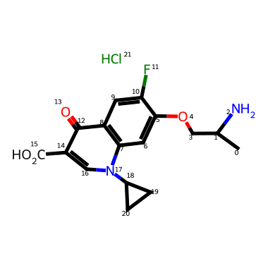 CC(N)COc1cc2c(cc1F)c(=O)c(C(=O)O)cn2C1CC1.Cl